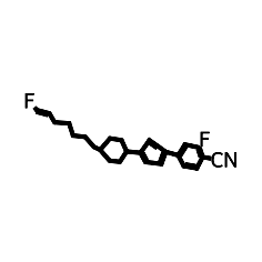 N#Cc1ccc(-c2ccc(C3CCC(CCCCCC=CF)CC3)cc2)cc1F